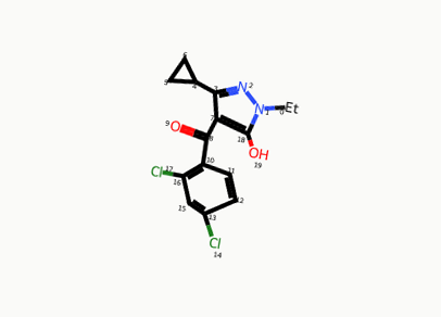 CCn1nc(C2CC2)c(C(=O)c2ccc(Cl)cc2Cl)c1O